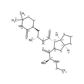 CC1(C)CC[C@@H](C[C@@H](C#N)NC(=O)[C@@H]2[C@H]3CCC[C@H]3CN2C(=O)[C@@H](NCC(F)(F)F)C(C)(C)C)C(=O)N1